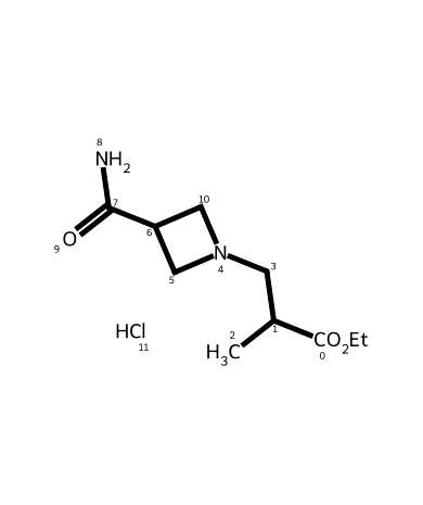 CCOC(=O)C(C)CN1CC(C(N)=O)C1.Cl